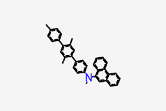 Cc1ccc(-c2cc(C)c(-c3ccc(N(C)c4cc5ccccc5c5ccccc45)cc3)cc2C)cc1